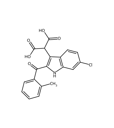 Cc1ccccc1C(=O)c1[nH]c2cc(Cl)ccc2c1C(C(=O)O)C(=O)O